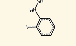 SNc1ccccc1I